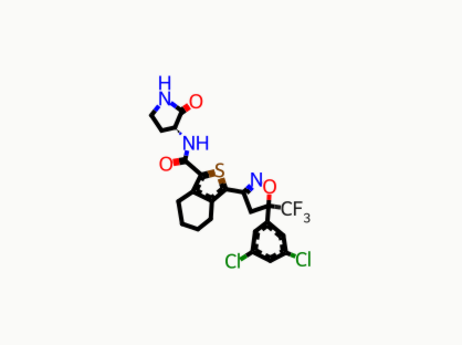 O=C(N[C@@H]1CCNC1=O)c1sc(C2=NOC(c3cc(Cl)cc(Cl)c3)(C(F)(F)F)C2)c2c1CCCC2